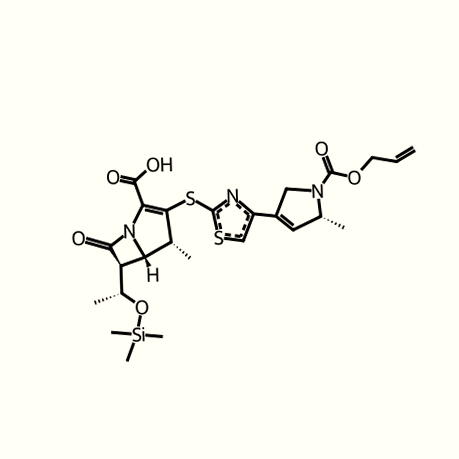 C=CCOC(=O)N1CC(c2csc(SC3=C(C(=O)O)N4C(=O)[C@H]([C@@H](C)O[Si](C)(C)C)[C@H]4[C@H]3C)n2)=C[C@H]1C